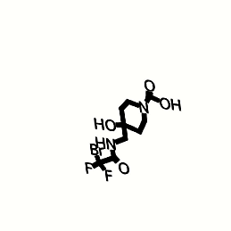 O=C(O)N1CCC(O)(CNC(=O)C(F)(F)Br)CC1